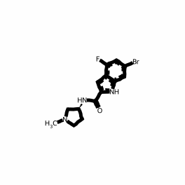 CN1CC[C@@H](NC(=O)c2cc3c(F)cc(Br)cc3[nH]2)C1